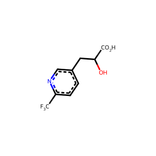 O=C(O)C(O)Cc1ccc(C(F)(F)F)nc1